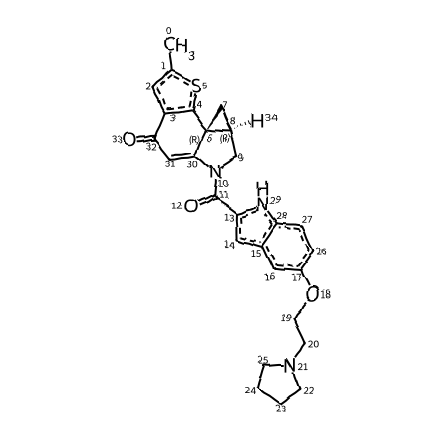 Cc1cc2c(s1)[C@]13C[C@H]1CN(C(=O)c1cc4cc(OCCN5CCCC5)ccc4[nH]1)C3=CC2=O